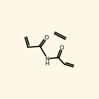 C=C.C=CC(=O)NC(=O)C=C